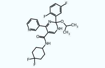 CC(C)OC1(c2cc(F)ccc2F)N=C(c2cccnc2)C(C(=O)NC2CCC(F)(F)CC2)=CN1